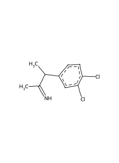 C[C](C(C)=N)c1ccc(Cl)c(Cl)c1